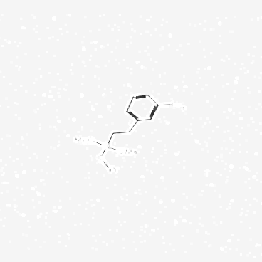 CO[Si](CCc1cccc(C(F)(F)F)c1)(OC)OC(C)C